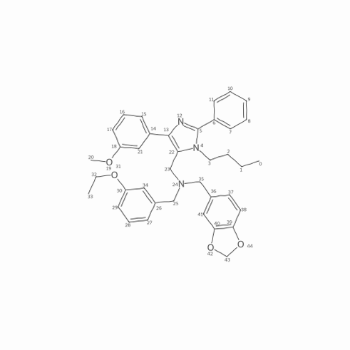 CCCCn1c(-c2ccccc2)nc(-c2cccc(OC)c2)c1CN(Cc1cccc(OCC)c1)Cc1ccc2c(c1)OCO2